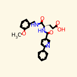 COc1cccc(CNC(=O)[C@H](CCC(=O)O)NC(=O)c2ccc(-c3ccccc3)nc2)c1